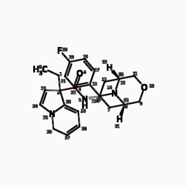 CCC1(C(=O)N[C@H]2C[C@H]3COC[C@@H](C2)N3Cc2ccc(F)cc2)C=CN2CC=CC=C21